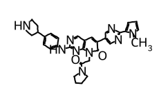 Cn1cccc1-c1ncc(-c2cc3cnc(Nc4ccc(C5CCNCC5)cc4)nc3n(CC(=O)N3CCCC3)c2=O)cn1